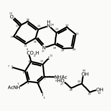 CC(=O)Nc1c(I)c(NC(C)=O)c(I)c(C(=O)O)c1I.O=c1ccc2nc3ccccc3[nH]c-2c1.OCC(O)CO